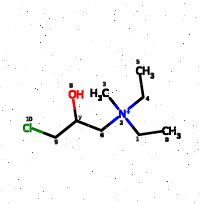 CC[N+](C)(CC)CC(O)CCl